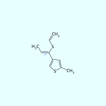 C=CS/C(=C\C)c1csc(C)c1